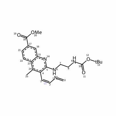 C=N/C=C\c1c(NCCNC(=O)OC(C)(C)C)nc2cc(C(=O)OC)ccc2c1C